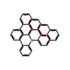 c1ccc(-c2ccccc2N(c2ccccc2-c2ccccc2)c2ccc3ccccc3c2-c2ccc3ccccc3c2)cc1